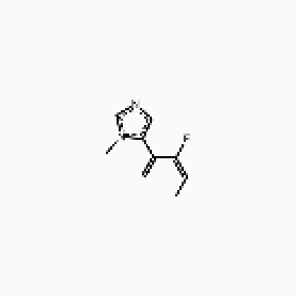 C=C(/C(F)=C\C)c1cncn1C